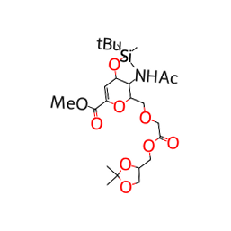 COC(=O)C1=CC(O[Si](C)(C)C(C)(C)C)C(NC(C)=O)C(COCC(=O)OCC2COC(C)(C)O2)O1